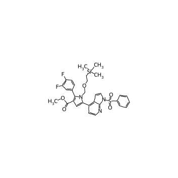 COC(=O)c1cc(-c2ccnc3c2ccn3S(=O)(=O)c2ccccc2)n(COCC[Si](C)(C)C)c1-c1ccc(F)c(F)c1